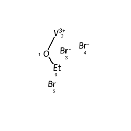 CC[O][V+3].[Br-].[Br-].[Br-]